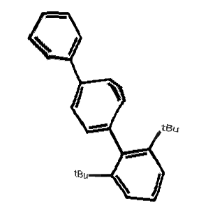 CC(C)(C)c1cccc(C(C)(C)C)c1-c1ccc(-c2ccccc2)cc1